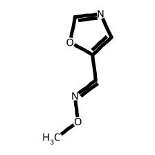 CON=Cc1cnco1